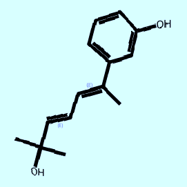 C/C(=C\C=C\C(C)(C)O)c1cccc(O)c1